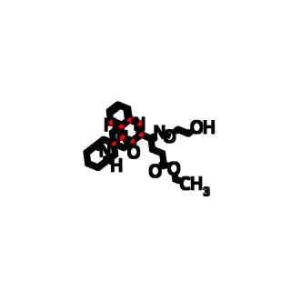 CCOC(=O)CCC(=NOCCO)c1nc2ccccc2n([C@@H]2CC3CCC[C@H](C2)N3C2CC3CCC[C@@H](C3)C2)c1=O